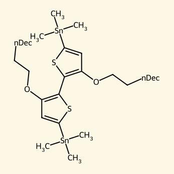 CCCCCCCCCCCCOc1c[c]([Sn]([CH3])([CH3])[CH3])sc1-c1s[c]([Sn]([CH3])([CH3])[CH3])cc1OCCCCCCCCCCCC